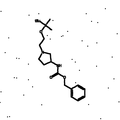 CC(C)(C)[Si](C)(C)OCCN1CCC(NC(=O)OCc2ccccc2)C1